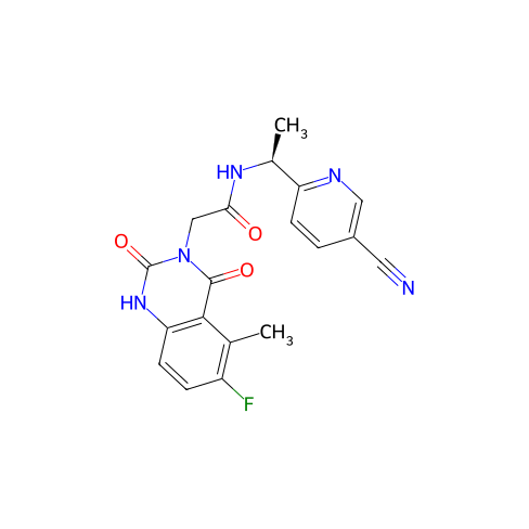 Cc1c(F)ccc2[nH]c(=O)n(CC(=O)N[C@@H](C)c3ccc(C#N)cn3)c(=O)c12